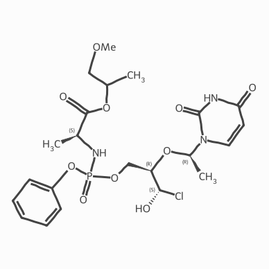 COCC(C)OC(=O)[C@H](C)NP(=O)(OC[C@@H](O[C@H](C)n1ccc(=O)[nH]c1=O)[C@@H](O)Cl)Oc1ccccc1